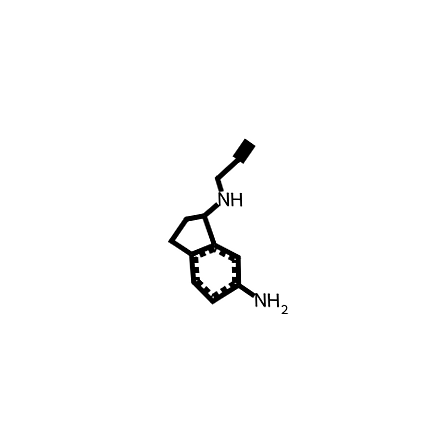 C#CCNC1CCc2ccc(N)cc21